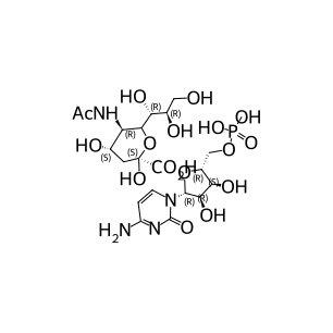 CC(=O)N[C@H]1C([C@H](O)[C@H](O)CO)O[C@](O)(C(=O)O)C[C@@H]1O.Nc1ccn([C@@H]2O[C@H](COP(=O)(O)O)[C@@H](O)[C@H]2O)c(=O)n1